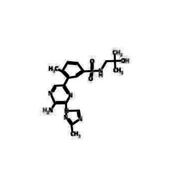 Cc1ncn(-c2nc(-c3cc(S(=O)(=O)NCC(C)(C)O)ccc3C)cnc2N)n1